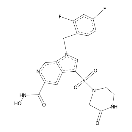 O=C1CN(S(=O)(=O)c2cn(Cc3ccc(F)cc3F)c3cnc(C(=O)NO)cc23)CCN1